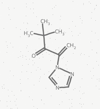 C=C(C(=O)C(C)(C)C)n1cncn1